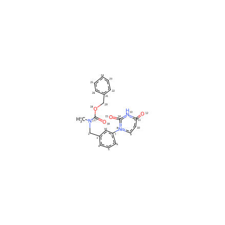 CN(Cc1cccc(-n2ccc(=O)[nH]c2=O)c1)C(=O)OCc1ccccc1